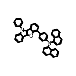 c1ccc(-n2c3ccccc3c3oc4c(-c5ccc(N(c6cccc7ccccc67)c6cccc7ccccc67)cc5)cccc4c32)cc1